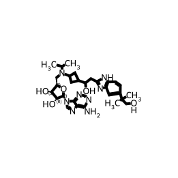 CC(C)N(C[C@H]1O[C@@H](n2cnc3c(N)ncnc32)[C@H](O)[C@@H]1O)C1CC(C(O)Cc2nc3cc(C(C)(C)CO)ccc3[nH]2)C1